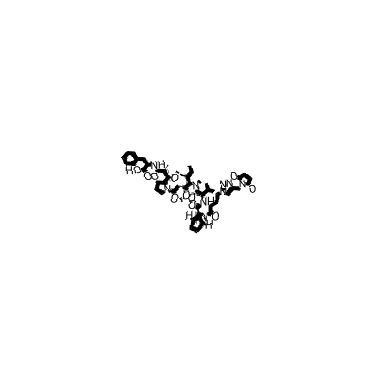 CC[C@H](C)[C@@H]([C@@H](CC(=O)N1CCCC1[C@H](OC)[C@@H](C)C(=O)NC(Cc1ccccc1)C(=O)O)OC)N(C)C(=O)C(NC(=O)[C@@H]1[C@H]2CC[C@H](C2)N1C(=O)CCCn1cc(CN2C(=O)C=CC2=O)nn1)C(C)C